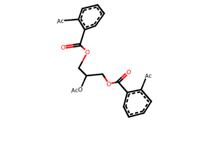 CC(=O)OC(COC(=O)c1ccccc1C(C)=O)COC(=O)c1ccccc1C(C)=O